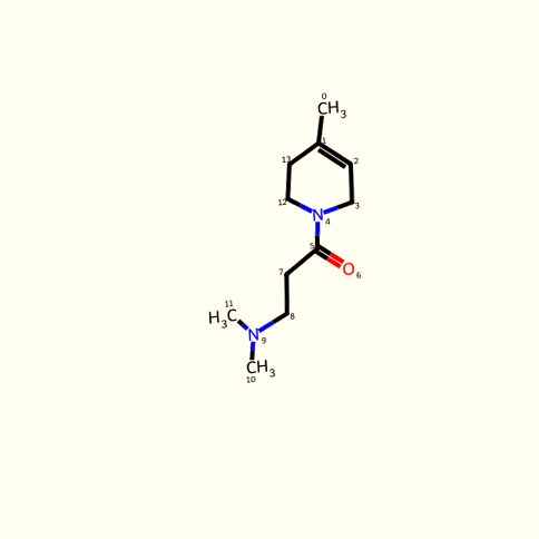 CC1=CCN(C(=O)CCN(C)C)CC1